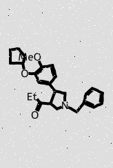 CCC(=O)C1CN(Cc2ccccc2)CC1c1ccc(OC)c(OC2CCCC2)c1